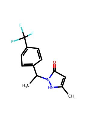 Cc1cc(=O)n(C(C)c2ccc(C(F)(F)F)cc2)[nH]1